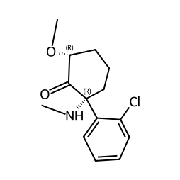 CN[C@@]1(c2ccccc2Cl)CCC[C@@H](OC)C1=O